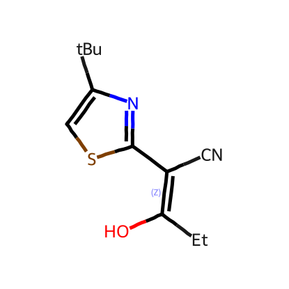 CC/C(O)=C(\C#N)c1nc(C(C)(C)C)cs1